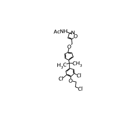 CC(=O)Nc1cc(COc2ccc(C(C)(C)c3cc(Cl)c(OCCCl)c(Cl)c3)cc2)on1